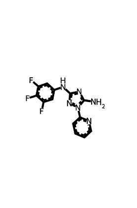 Nc1nc(Nc2cc(F)c(F)c(F)c2)nn1-c1ccccn1